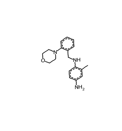 Cc1cc(N)ccc1NCc1ccccc1N1CCOCC1